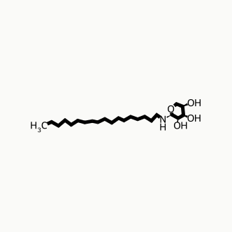 CCCCCCCCCCCCCCCCCCN[C@@H]1OC[C@@H](O)[C@@H](O)[C@@H]1O